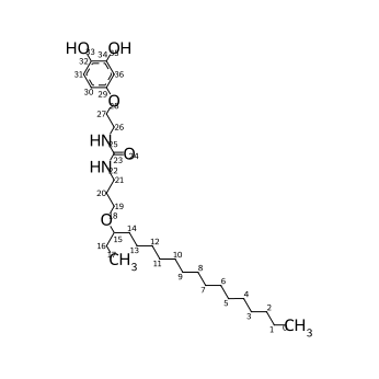 CCCCCCCCCCCCCCCC(CC)OCCCNC(=O)NCCOc1ccc(O)c(O)c1